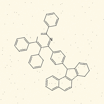 C=C(/N=C(\C(=C(/C)c1ccccc1)C1C=CC=CC1)c1ccc(C2C3=C(CCC=C3)c3ccc4ccccc4c32)cc1)c1ccccc1